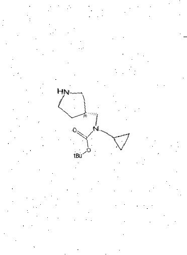 CC(C)(C)OC(=O)N(C[C@@H]1CCNC1)C1CC1